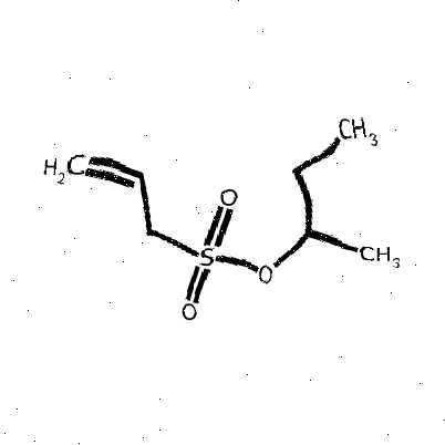 C=CCS(=O)(=O)OC(C)CC